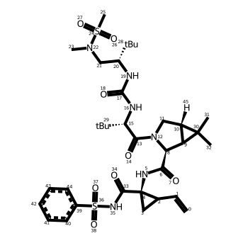 C=CC1C[C@]1(NC(=O)[C@@H]1C2[C@H](CN1C(=O)[C@@H](NC(=O)N[C@H](CN(C)S(C)(=O)=O)C(C)(C)C)C(C)(C)C)C2(C)C)C(=O)NS(=O)(=O)c1ccccc1